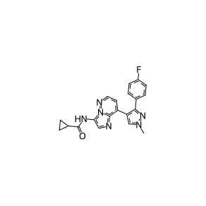 Cn1cc(-c2ccnn3c(NC(=O)C4CC4)cnc23)c(-c2ccc(F)cc2)n1